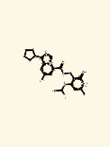 Cc1cc(OC(F)F)c(CNC(=O)c2cc(Cl)cc3c(C4CCCC4)ncn23)c(=O)[nH]1